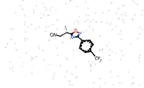 C[C@@H](CN=O)c1nc(-c2ccc(C(F)(F)F)cc2)no1